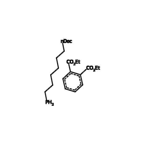 CCCCCCCCCCCCCCCCP.CCOC(=O)c1ccccc1C(=O)OCC